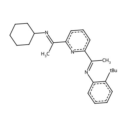 C/C(=N\c1ccccc1C(C)(C)C)c1cccc(/C(C)=N/C2CCCCC2)n1